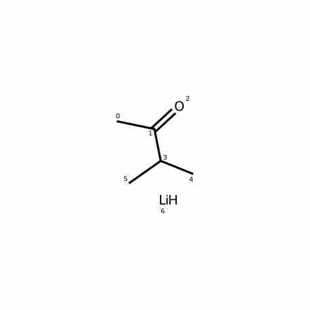 CC(=O)C(C)C.[LiH]